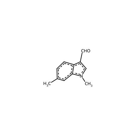 Cc1ccc2c(C=O)cn(C)c2c1